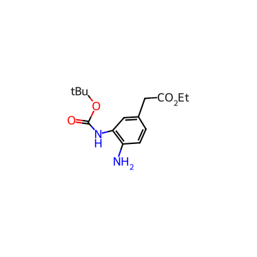 CCOC(=O)Cc1ccc(N)c(NC(=O)OC(C)(C)C)c1